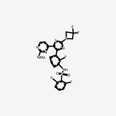 CNc1nccc(-c2sc(N3CC(F)(F)C3)nc2-c2cccc(NS(=O)(=O)c3c(F)cccc3F)c2F)n1